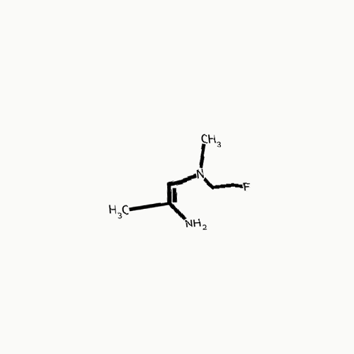 C/C(N)=C/N(C)CF